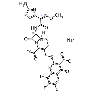 CO/N=C(\C(=O)N[C@@H]1C(=O)N2C(C(=O)[O-])=C(CSc3sc4c(F)c(F)c(F)cc4c(=O)c3C(=O)O)CS[C@H]12)c1csc(N)n1.[Na+]